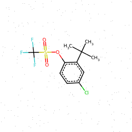 CC(C)(C)c1cc(Cl)ccc1OS(=O)(=O)C(F)(F)F